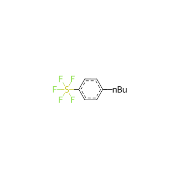 CCCCc1ccc(S(F)(F)(F)(F)F)cc1